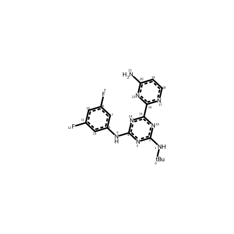 CC(C)(C)Nc1nc(Nc2cc(F)cc(F)c2)nc(-c2nccc(N)n2)n1